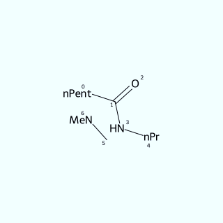 CCCCCC(=O)NCCC.CNC